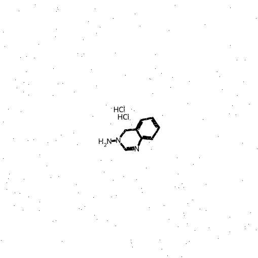 Cl.Cl.NN1C=Nc2ccccc2C1